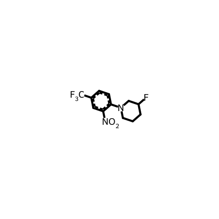 O=[N+]([O-])c1cc(C(F)(F)F)ccc1N1CCCC(F)C1